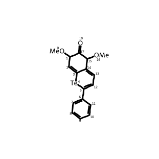 COC1C=C2[Te]C(c3ccccc3)=CC=C2C(OC)C1=O